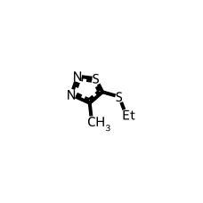 CCSc1snnc1C